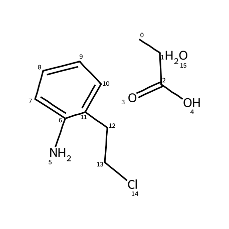 CCC(=O)O.Nc1ccccc1CCCl.O